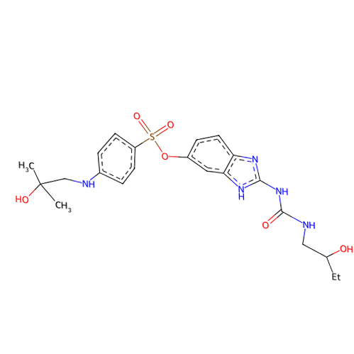 CCC(O)CNC(=O)Nc1nc2ccc(OS(=O)(=O)c3ccc(NCC(C)(C)O)cc3)cc2[nH]1